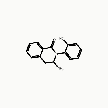 N#Cc1ccccc1N1C(=O)c2ccccc2CC1N